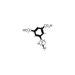 CC(C)=O.Cc1cc(C(=O)O)cc(C(=O)O)c1